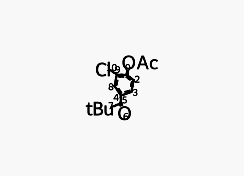 CC(=O)Oc1ccc(C(=O)C(C)(C)C)cc1Cl